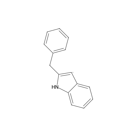 [c]1c(Cc2ccccc2)[nH]c2ccccc12